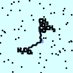 CCCC[C@H](CCC/C=C\CCCCCC(C)=O)OC(C)=O